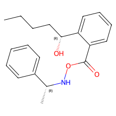 CCCC[C@@H](O)c1ccccc1C(=O)ON[C@H](C)c1ccccc1